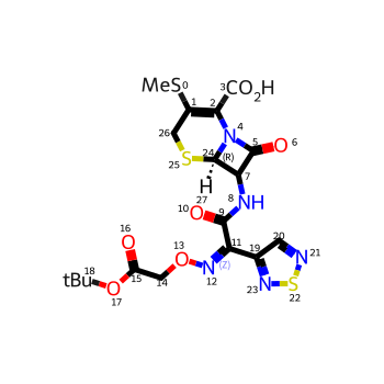 CSC1=C(C(=O)O)N2C(=O)C(NC(=O)/C(=N\OCC(=O)OC(C)(C)C)c3cnsn3)[C@H]2SC1